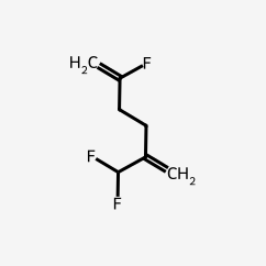 C=C(F)CCC(=C)C(F)F